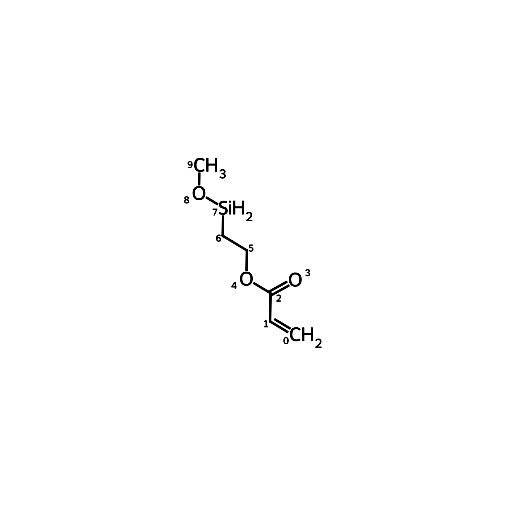 C=CC(=O)OCC[SiH2]OC